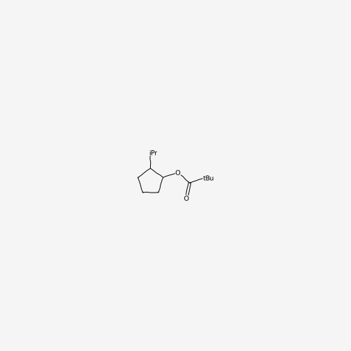 CC(C)C1CCCC1OC(=O)C(C)(C)C